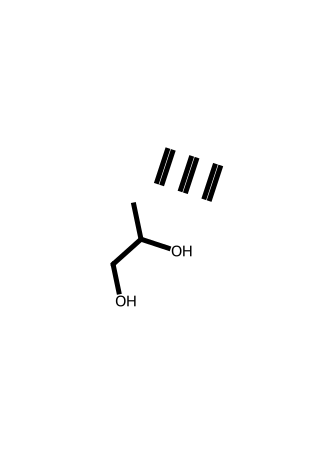 C=C.C=C.C=C.CC(O)CO